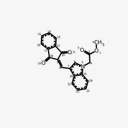 COC(=O)Cn1cc(C=C2C(=O)c3ccccc3C2=O)c2ccccc21